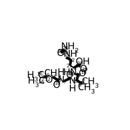 CC(C)[C@H](NC(=O)CNC(=O)COC(C)(C)C)C(=O)N[C@@H](CCCNC(N)=O)C(=O)O